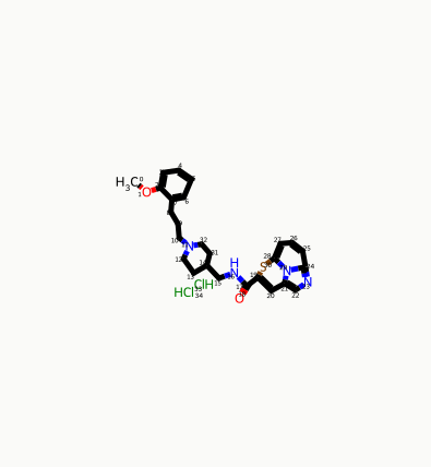 COc1ccccc1CCCN1CCC(CNC(=O)C2=Cc3cnc4cccc(n34)S2)CC1.Cl.Cl